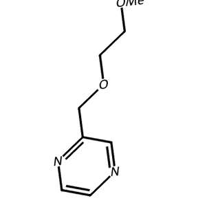 COCCOCc1cnccn1